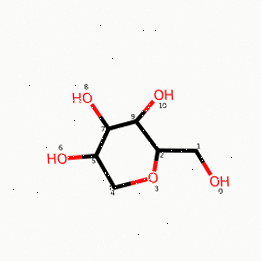 OCC1O[C]C(O)C(O)C1O